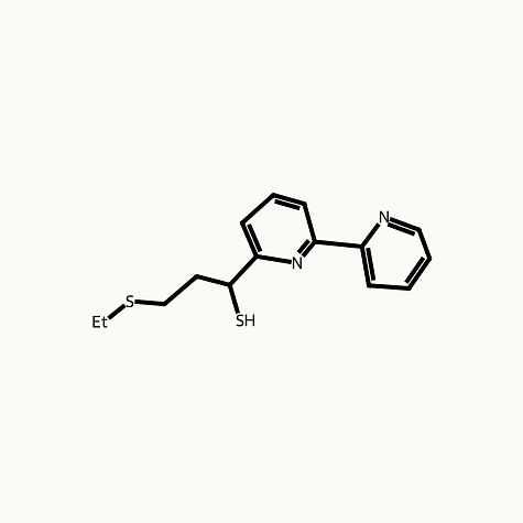 CCSCCC(S)c1cccc(-c2ccccn2)n1